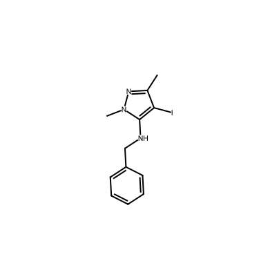 Cc1nn(C)c(NCc2ccccc2)c1I